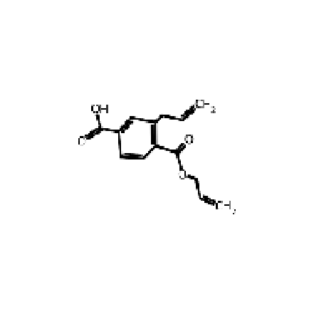 C=CCOC(=O)c1ccc(C(=O)O)cc1CC=C